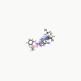 N#Cc1cnc(NCc2ccccc2OC(F)(F)F)nc1NCC12CC3C[C@H](C1)[C@@H](N[C@H]1CC[C@H](O)CC1)[C@@H](C3)C2